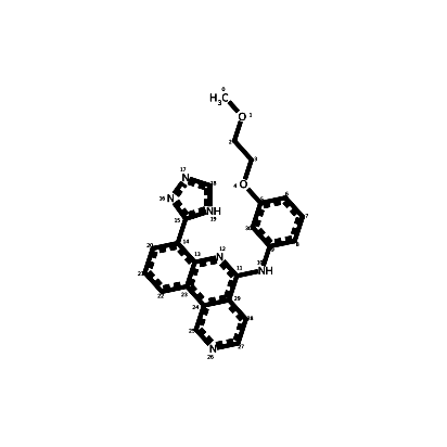 COCCOc1cccc(Nc2nc3c(-c4nnc[nH]4)cccc3c3cnccc23)c1